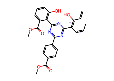 C=C/C(O)=C(\C=C/C)c1nc(-c2ccc(C(=O)OC)cc2)nc(-c2c(O)cccc2C(=O)OC)n1